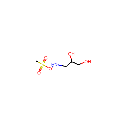 CS(=O)(=O)ONCC(O)CO